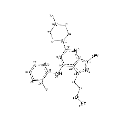 CCOCCn1nc(CC)c2nc(N3CCN(C)CC3)nc(Nc3ncccc3C)c21